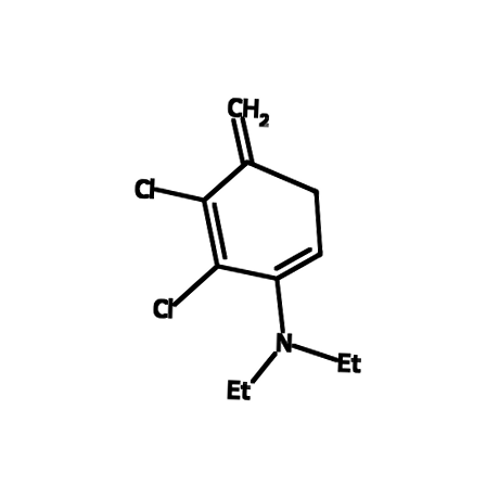 C=C1CC=C(N(CC)CC)C(Cl)=C1Cl